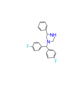 Fc1ccc(C(c2ccc(F)cc2)N2CCNC(c3ccccc3)C2)cc1